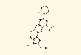 CCn1c(CO)nn(-c2cc3c(C(C)C)nc(-c4ccccc4C)nc3cc2F)c1=O